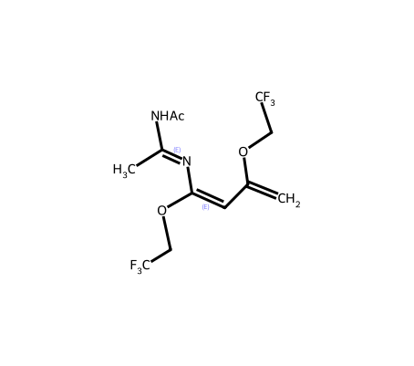 C=C(/C=C(\N=C(/C)NC(C)=O)OCC(F)(F)F)OCC(F)(F)F